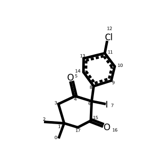 CC1(C)CC(=O)C(I)(c2ccc(Cl)cc2)C(=O)C1